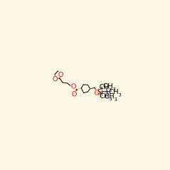 CC(C)(C)[Si](C)(C)OC[C@H]1CC[C@H](C(=O)OCCCC2OCCO2)CC1